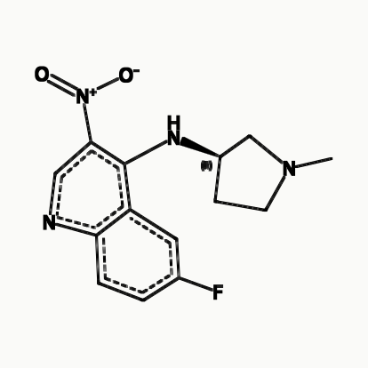 CN1CC[C@@H](Nc2c([N+](=O)[O-])cnc3ccc(F)cc23)C1